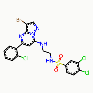 O=S(=O)(NCCNc1cc(-c2ccccc2Cl)nc2c(Br)cnn12)c1ccc(Cl)c(Cl)c1